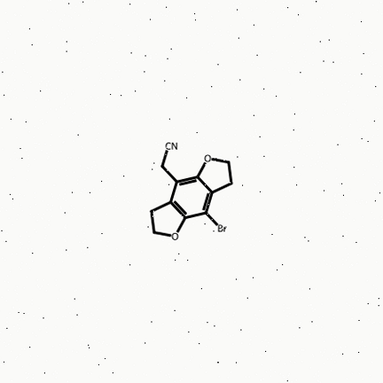 N#CCc1c2c(c(Br)c3c1OCC3)OCC2